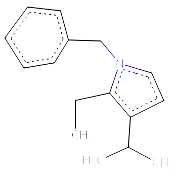 CCc1c(C(C)C)ccn1Cc1ccccc1